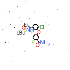 CCC(N[S+]([O-])C(C)(C)C)c1ccc(Cl)c(Oc2ccc(F)c(C(N)=O)c2)c1F